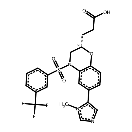 Cn1cncc1-c1ccc2c(c1)N(S(=O)(=O)c1cccc(C(F)(F)F)c1)C[C@H](CCC(=O)O)O2